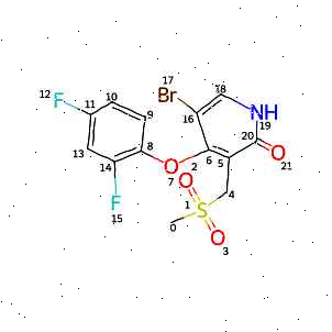 CS(=O)(=O)Cc1c(Oc2ccc(F)cc2F)c(Br)c[nH]c1=O